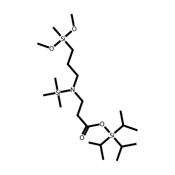 CO[Si](C)(CCCN(CCC(=O)O[Si](C(C)C)(C(C)C)C(C)C)[Si](C)(C)C)OC